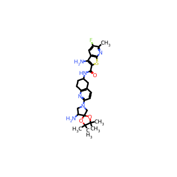 Cc1nc2sc(C(=O)NC3CCc4nc(N5CC(N)C6(C5)OC(C)(C)C(C)(C)O6)ccc4C3)c(N)c2cc1F